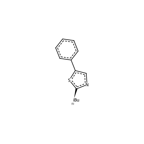 CC[C@H](C)c1ncc(-c2ccccc2)s1